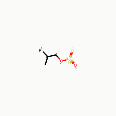 CCC(C)[CH]O[SH](=O)=O